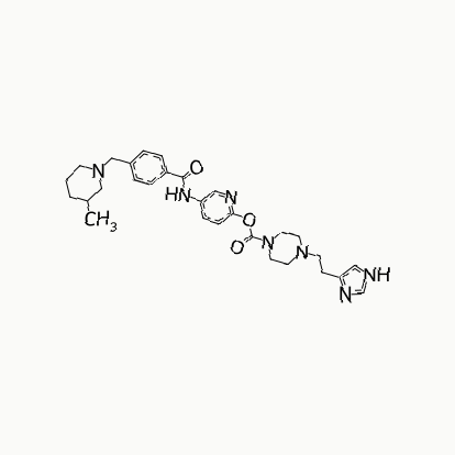 CC1CCCN(Cc2ccc(C(=O)Nc3ccc(OC(=O)N4CCN(CCc5c[nH]cn5)CC4)nc3)cc2)C1